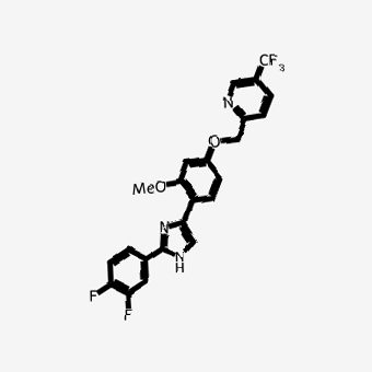 COc1cc(OCc2ccc(C(F)(F)F)cn2)ccc1-c1c[nH]c(-c2ccc(F)c(F)c2)n1